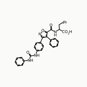 CC(C)CC(NC(=O)c1onc(-c2ccc(NC(=O)Nc3ccccc3)cc2)c1-c1ccccc1)C(=O)O